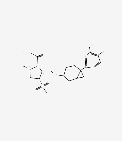 COC(=O)N1[C@H](C)C[C@H](S(C)(=O)=O)[C@H]1COC1CCC2(c3ncc(F)c(OC)n3)CC2C1